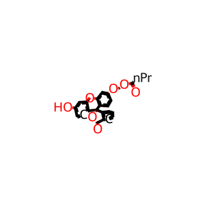 CCCC(=O)OCOc1ccc2c(c1)Oc1cc(O)ccc1C21OC(=O)c2ccccc21